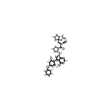 CN(C)CC1(/C=C(\C#N)C(=O)N2CCC[C@@H]2Cn2nc(-c3ccc(Oc4ccccc4)cc3F)c3c(N)ncnc32)CCCC1